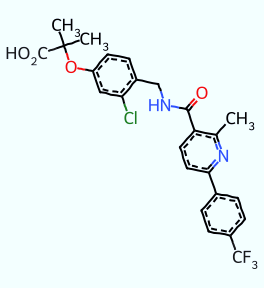 Cc1nc(-c2ccc(C(F)(F)F)cc2)ccc1C(=O)NCc1ccc(OC(C)(C)C(=O)O)cc1Cl